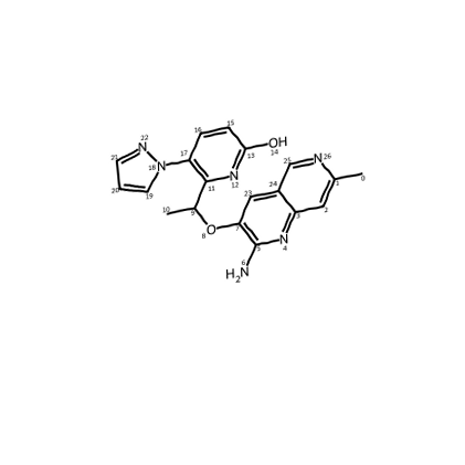 Cc1cc2nc(N)c(OC(C)c3nc(O)ccc3-n3cccn3)cc2cn1